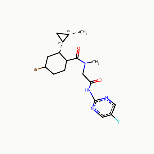 C[C@H]1C[C@H]1C1CC(Br)CCC1C(=O)N(C)CC(=O)Nc1ncc(F)cn1